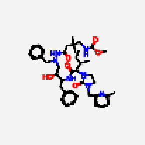 CCC(C)C(C(=O)NC(Cc1ccccc1)C(O)CN(Cc1ccccc1)NC(=O)CC(C)(C)CNC(=O)OC)N1CCN(Cc2cccc(C)n2)C1=O